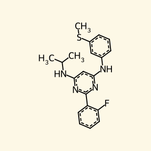 CSc1cccc(Nc2cc(NC(C)C)nc(-c3ccccc3F)n2)c1